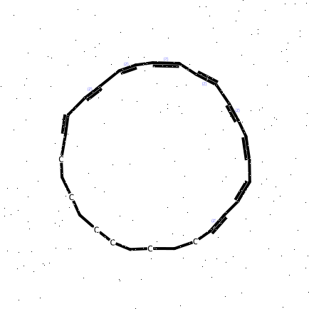 [C]1=C\C=C/C=C\C=C/C=C\C=C/C=CC=C/C=C\CCCCCCCCCC1